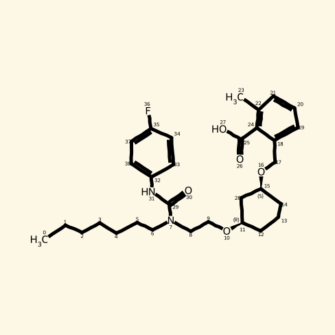 CCCCCCCN(CCO[C@@H]1CCC[C@H](OCc2cccc(C)c2C(=O)O)C1)C(=O)Nc1ccc(F)cc1